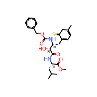 COC(=O)[C@H](CC(C)C)NC(=O)[C@H](O)[C@@H](CC1=CC=C(C)CC1=S)NC(=O)OCc1ccccc1